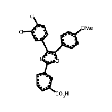 COc1ccc(-c2oc(-c3cccc(C(=O)O)c3)nc2-c2ccc(Cl)c(Cl)c2)cc1